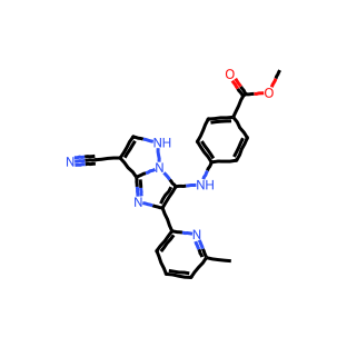 COC(=O)c1ccc(Nc2c(-c3cccc(C)n3)nc3c(C#N)c[nH]n23)cc1